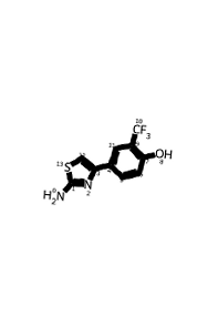 Nc1nc(-c2ccc(O)c(C(F)(F)F)c2)cs1